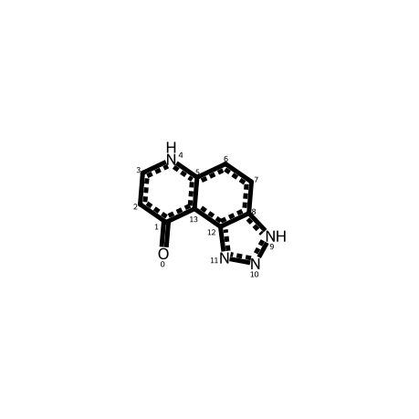 O=c1cc[nH]c2ccc3[nH]nnc3c12